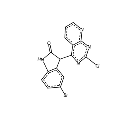 O=C1Nc2ccc(Br)cc2C1c1nc(Cl)nc2ncccc12